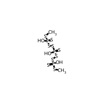 CSP(O)(=S)SSP(O)(=S)SSP(O)(=S)SC